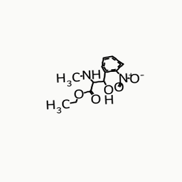 CCOC(=O)C(NC)C(O)c1ccccc1[N+](=O)[O-]